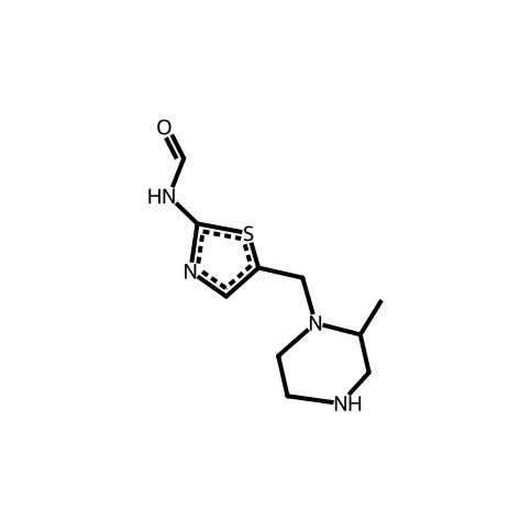 CC1CNCCN1Cc1cnc(NC=O)s1